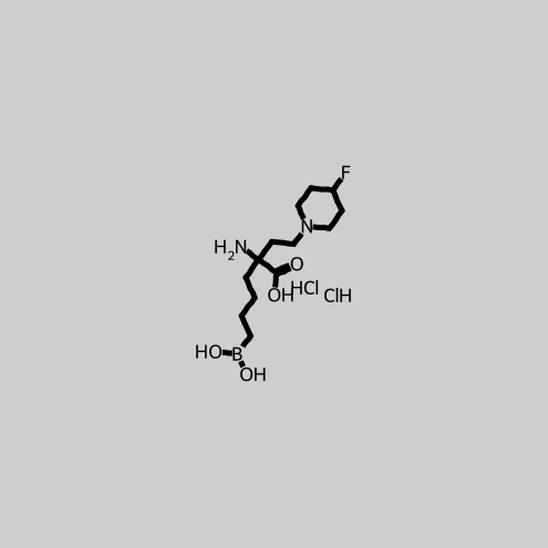 Cl.Cl.NC(CCCCB(O)O)(CCN1CCC(F)CC1)C(=O)O